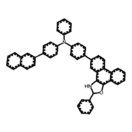 c1ccc(C2Nc3c(c4ccccc4c4ccc(-c5ccc(N(c6ccccc6)c6ccc(-c7ccc8ccccc8c7)cc6)cc5)cc34)O2)cc1